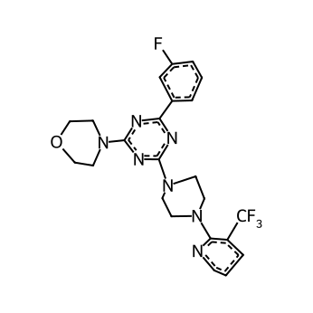 Fc1cccc(-c2nc(N3CCOCC3)nc(N3CCN(c4ncccc4C(F)(F)F)CC3)n2)c1